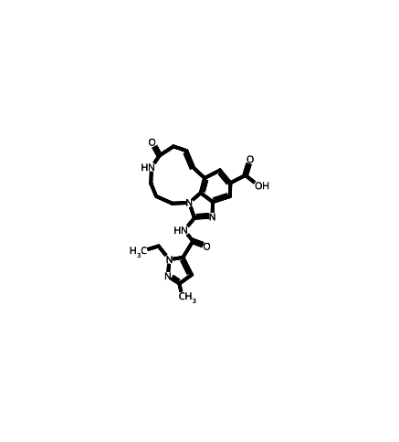 CCn1nc(C)cc1C(=O)Nc1nc2cc(C(=O)O)cc3c2n1CCCNC(=O)C/C=C/3